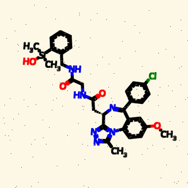 COc1ccc2c(c1)C(c1ccc(Cl)cc1)=N[C@@H](CC(=O)NCC(=O)NCc1ccccc1[Si](C)(C)O)c1nnc(C)n1-2